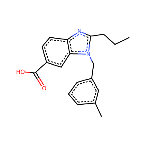 CCCc1nc2ccc(C(=O)O)cc2n1Cc1cccc(C)c1